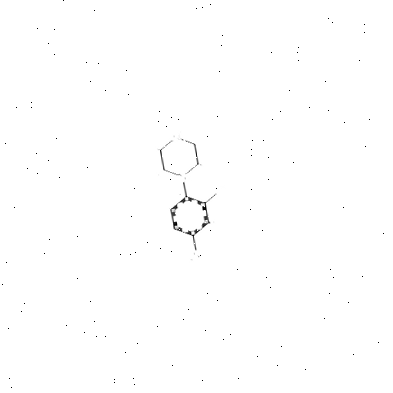 O=[N+]([O-])c1ccc(N2CC[N]CC2)c(Cl)c1